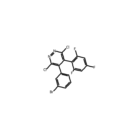 Fc1cc(F)c(-c2c(Cl)nnc(Cl)c2-c2cccc(Br)c2)c(F)c1